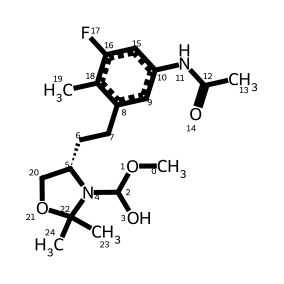 COC(O)N1[C@@H](CCc2cc(NC(C)=O)cc(F)c2C)COC1(C)C